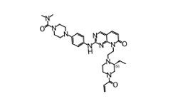 C=CC(=O)N1CCN(CCn2c(=O)ccc3cnc(Nc4ccc(N5CCN(C(=O)N(C)C)CC5)cc4)nc32)[C@@H](CC)C1